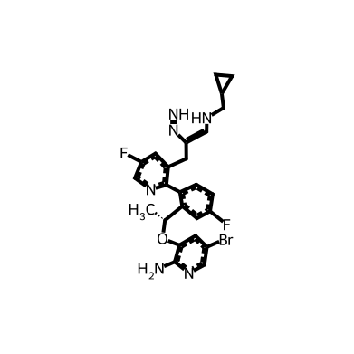 C[C@@H](Oc1cc(Br)cnc1N)c1cc(F)ccc1-c1ncc(F)cc1C/C(=C/NCC1CC1)N=N